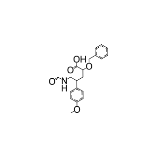 COc1ccc(C(CNC=O)CC(OCc2ccccc2)C(=O)O)cc1